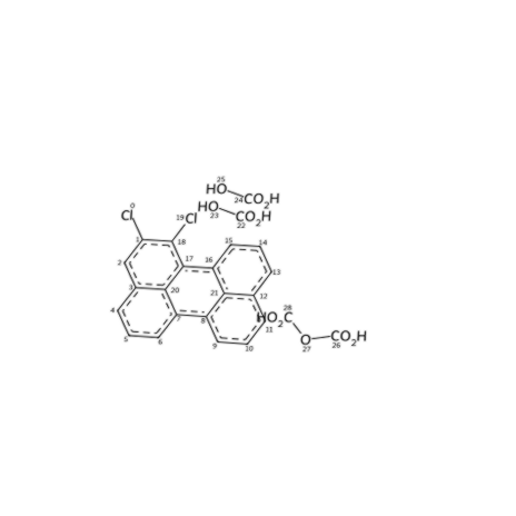 Clc1cc2cccc3c4cccc5cccc(c(c1Cl)c23)c54.O=C(O)O.O=C(O)O.O=C(O)OC(=O)O